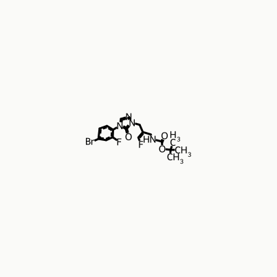 CC(C)(C)OC(=O)NCC(=CF)Cn1ncn(-c2ccc(Br)cc2F)c1=O